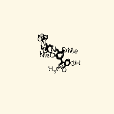 COc1cc(-c2cn(C)c(=O)c3cc(O)ccc23)cc(OC)c1CN1CCC2(CC1)CN(C(=O)OC(C)(C)C)CCO2